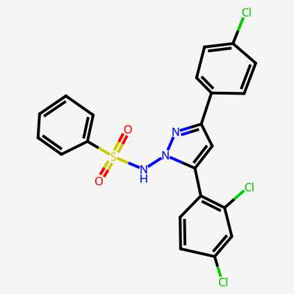 O=S(=O)(Nn1nc(-c2ccc(Cl)cc2)cc1-c1ccc(Cl)cc1Cl)c1ccccc1